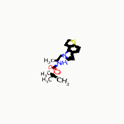 CC(CN1CCc2ccc3c(c21)CCS3)NC(=O)OC(C)(C)C